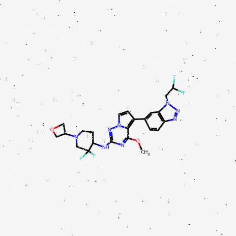 COc1nc(NC2CCN(C3COC3)CC2(F)F)nn2ccc(-c3ccc4nnn(CC(F)F)c4c3)c12